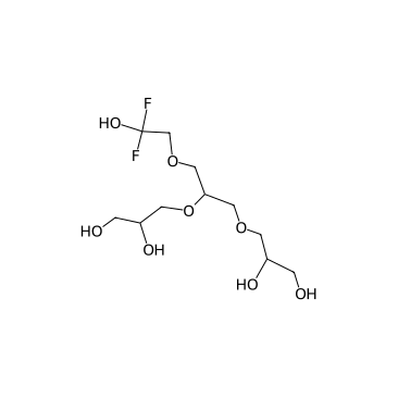 OCC(O)COCC(COCC(O)(F)F)OCC(O)CO